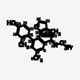 CN/C(=N\OC(C)C)c1cc(C(F)(F)F)cc(-c2ccc(O)cc2C)c1-c1occc1C